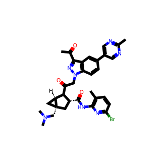 CC(=O)c1nn(CC(=O)C2[C@H](C(=O)Nc3nc(Br)ccc3C)C[C@@]3(CN(C)C)C[C@@H]23)c2ccc(-c3cnc(C)nc3)cc12